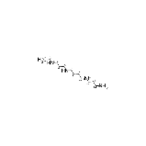 C=CNCCCNCCCCNCCCN